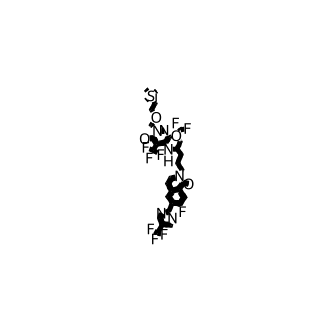 C[Si](C)(C)CCOCn1ncc(NC(CCCn2ccc3cc(-c4ncc(C(F)(F)F)cn4)c(F)cc3c2=O)COC(F)F)c(C(F)(F)F)c1=O